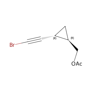 CC(=O)OC[C@@H]1C[C@H]1C#CBr